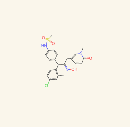 Cc1cc(Cl)ccc1C(C(Cc1ccc(=O)n(C)c1)=NO)c1ccc(NS(C)(=O)=O)cc1